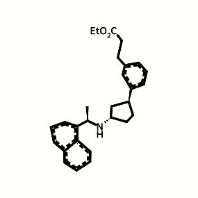 CCOC(=O)CCc1cccc([C@H]2CC[C@H](N[C@H](C)c3cccc4ccccc34)C2)c1